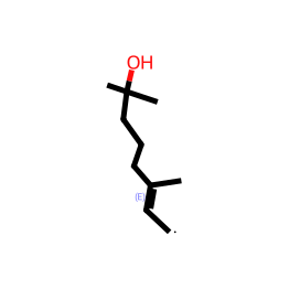 [CH2]/C=C(\C)CCCC(C)(C)O